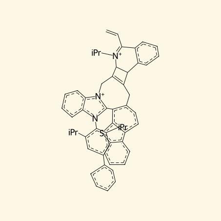 C=CC1=[N+](C(C)C)C2C3=C(Cc4ccc5c(sc6ccccc65)c4-c4n(-c5c(C(C)C)cc(-c6ccccc6)cc5C(C)C)c5ccccc5[n+]4C3)C2c2ccccc21